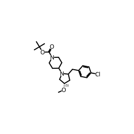 CO[C@H]1CC(Cc2ccc(Cl)cc2)N(C2CCN(C(=O)OC(C)(C)C)CC2)C1